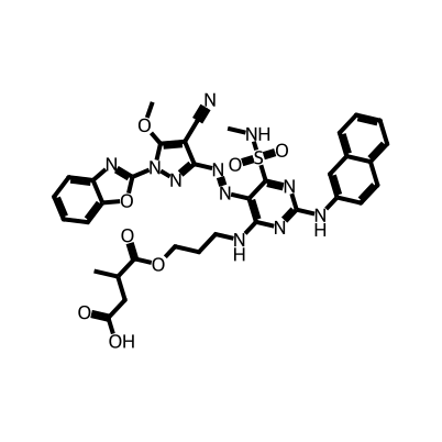 CNS(=O)(=O)c1nc(Nc2ccc3ccccc3c2)nc(NCCCOC(=O)C(C)CC(=O)O)c1N=Nc1nn(-c2nc3ccccc3o2)c(OC)c1C#N